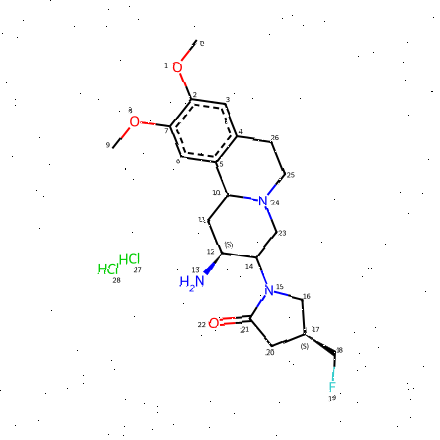 COc1cc2c(cc1OC)C1C[C@H](N)C(N3C[C@@H](CF)CC3=O)CN1CC2.Cl.Cl